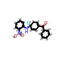 O=C(C1=CCC(F)(Nc2ccccc2[N+](=O)[O-])C=C1)c1ccccc1